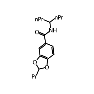 CCCC(CCC)NC(=O)c1ccc2c(c1)OC(C(C)C)O2